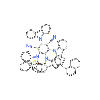 N#Cc1c(-n2c3ccccc3c3ccccc32)c(C#N)c(-n2c3ccccc3c3ccccc32)c(-n2c3ccc(-c4cccc5ccccc45)cc3c3ccc4c5ccccc5sc4c32)c1-n1c2ccccc2c2ccccc21